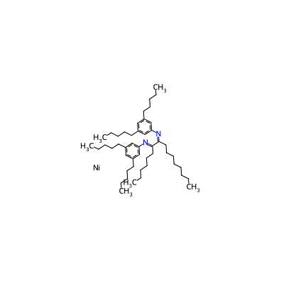 CCCCCCCCC(=Nc1cc(CCCCC)cc(CCCCC)c1)C(CCCCCC)=Nc1cc(CCCCC)cc(CCCCC)c1.[Ni]